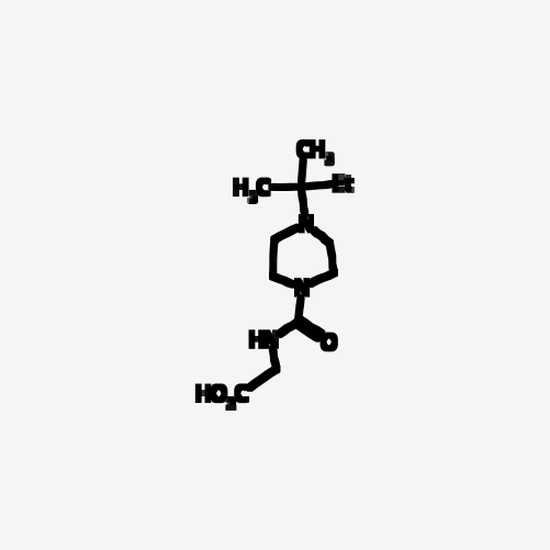 CCC(C)(C)N1CCN(C(=O)NCC(=O)O)CC1